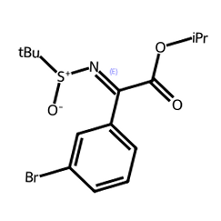 CC(C)OC(=O)/C(=N/[S+]([O-])C(C)(C)C)c1cccc(Br)c1